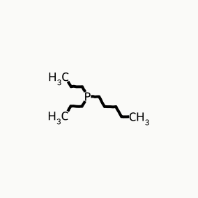 CCCCCP(CCC)CCC